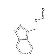 O=[C]OCc1scc2ccccc12